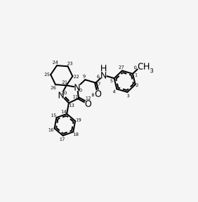 Cc1cccc(NC(=O)CN2C(=O)C(c3ccccc3)=NC23CCCCC3)c1